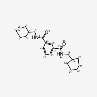 O=C(NCC1CCCCC1)c1cccc(C(=O)NCC2CCCCC2)c1